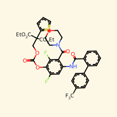 CCOC(=O)C(COC(=O)Oc1c(F)cc(NC(=O)c2ccccc2-c2ccc(C(F)(F)F)cc2)c(C(=O)N2CCOCC2)c1F)(C(=O)OCC)c1cccs1